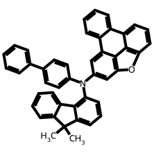 CC1(C)c2ccccc2-c2c(N(c3ccc(-c4ccccc4)cc3)c3cc4oc5cccc6c7ccccc7c(c3)c4c56)cccc21